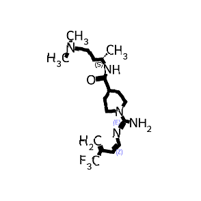 C=C(/C=C\N=C(/N)N1CCC(C(=O)N[C@@H](C)CCN(C)C)CC1)C(F)(F)F